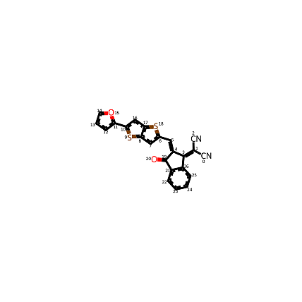 N#CC(C#N)=C1/C(=C/c2cc3sc(-c4ccco4)cc3s2)C(=O)c2ccccc21